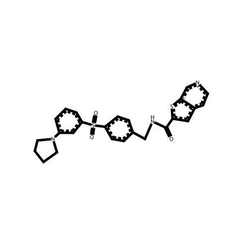 O=C(NCc1ccc(S(=O)(=O)c2cccc(N3CCCC3)c2)cc1)c1cc2ccncc2s1